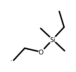 [CH2]CO[Si](C)(C)CC